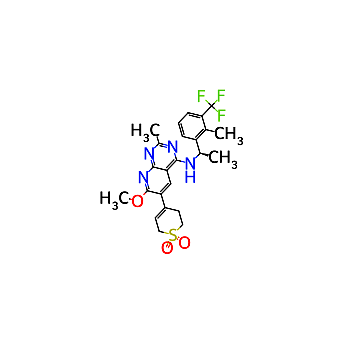 COc1nc2nc(C)nc(N[C@H](C)c3cccc(C(F)(F)F)c3C)c2cc1C1=CCS(=O)(=O)CC1